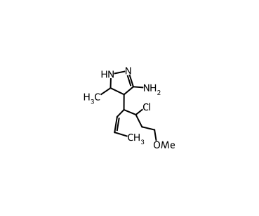 C/C=C\C(C(Cl)CCOC)C1C(N)=NNC1C